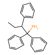 CCC(c1ccccc1)C(P)(c1ccccc1)c1ccccc1